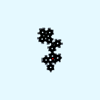 c1ccc(C(c2cc3ccccc3s2)c2ccccc2-c2cccc(-c3ccc4c(c3)c3ccccc3n4-c3ccc4c(c3)-c3ccccc3C4(c3ccccc3)c3ccccc3)c2)cc1